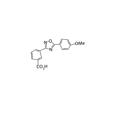 COc1ccc(-c2nc(-c3cccc(C(=O)O)c3)no2)cc1